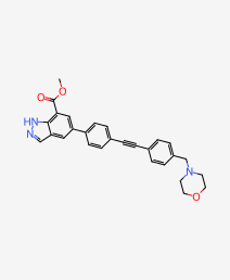 COC(=O)c1cc(-c2ccc(C#Cc3ccc(CN4CCOCC4)cc3)cc2)cc2cn[nH]c12